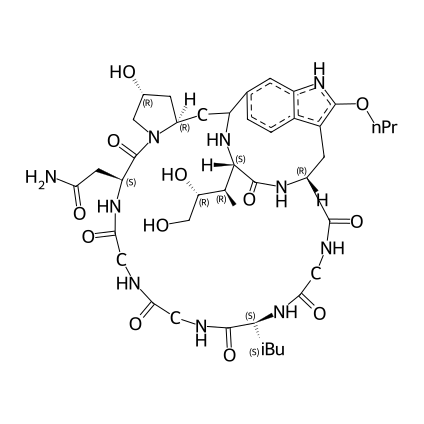 CCCOc1[nH]c2cc3ccc2c1C[C@H]1NC(=O)[C@H]([C@@H](C)[C@@H](O)CO)NC3C[C@@H]2C[C@@H](O)CN2C(=O)[C@H](CC(N)=O)NC(=O)CNC(=O)CNC(=O)[C@H]([C@@H](C)CC)NC(=O)CNC1=O